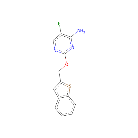 Nc1nc(OCc2cc3ccccc3s2)ncc1F